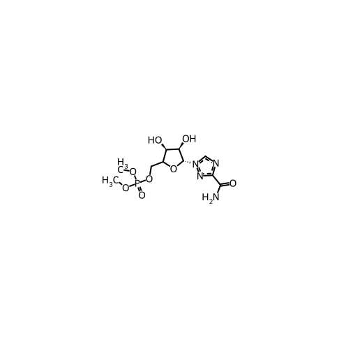 COP(=O)(OC)OCC1O[C@@H](n2cnc(C(N)=O)n2)[C@H](O)[C@@H]1O